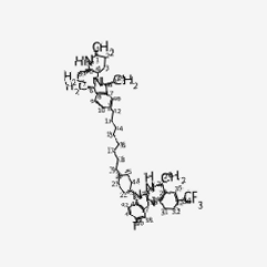 C=C1CCC(n2c(=C)c3ccc(CCCCCCCCC4CCC(n5c(NC(=C)C6=CCCC(C(F)(F)F)=C6)nc6cc(F)ccc65)CC4)cc3c2=C)C(=C)N1